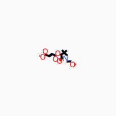 COCCN1CC(C)(C)[C@@H](OC(=O)/C=C/C(=O)OC)C1=O